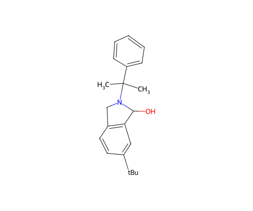 CC(C)(C)c1ccc2c(c1)C(O)N(C(C)(C)c1ccccc1)C2